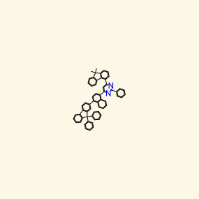 CC1(C)c2ccccc2-c2c(-c3cc(-c4ccc(-c5ccc6c(c5)C(c5ccccc5)(c5ccccc5)c5ccccc5-6)c5ccccc45)nc(-c4ccccc4)n3)cccc21